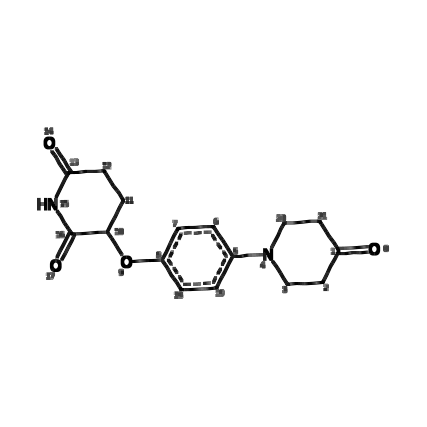 O=C1CCN(c2ccc(OC3CCC(=O)NC3=O)cc2)CC1